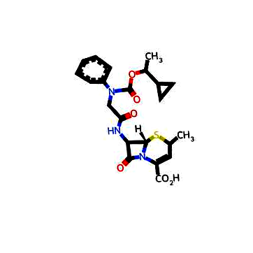 CC1C=C(C(=O)O)N2C(=O)C(NC(=O)CN(C(=O)OC(C)C3CC3)c3ccccc3)[C@@H]2S1